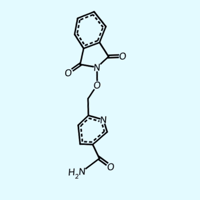 NC(=O)c1ccc(CON2C(=O)c3ccccc3C2=O)nc1